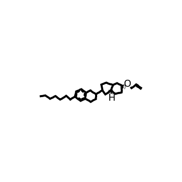 C=CCO[C@@H]1CC[C@@H]2CC(C3CCc4cc(CCCCCCC)ccc4C3)CCC2C1